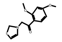 COc1ccc(C(=O)CN2C=CSC2)c(OC)c1